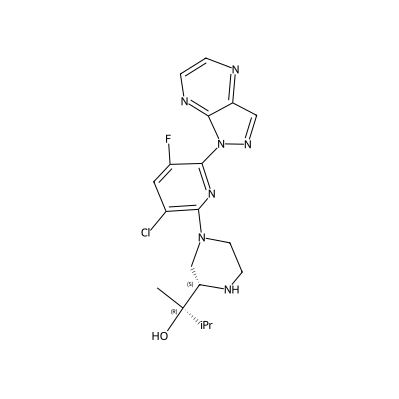 CC(C)[C@@](C)(O)[C@@H]1CN(c2nc(-n3ncc4nccnc43)c(F)cc2Cl)CCN1